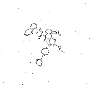 COc1ncc(C2(OC(=O)N3CCN(c4ccccn4)CC3)C(=O)N(S(=O)(=O)c3cccc4cccnc34)c3ccc(Cl)cc32)c(OC)n1